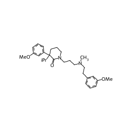 COc1cccc(CCN(C)CCCN2CCCC(c3cccc(OC)c3)(C(C)C)C2=O)c1